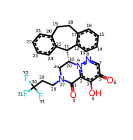 O=C1c2c(O)c(=O)cnn2[C@@H](C2c3ccccc3CCc3ccccc32)CN1CCC(F)(F)F